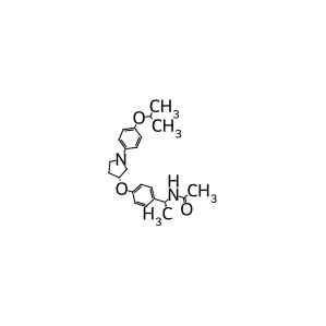 CC(=O)N[C@@H](C)c1ccc(O[C@@H]2CCN(c3ccc(OC(C)C)cc3)C2)cc1